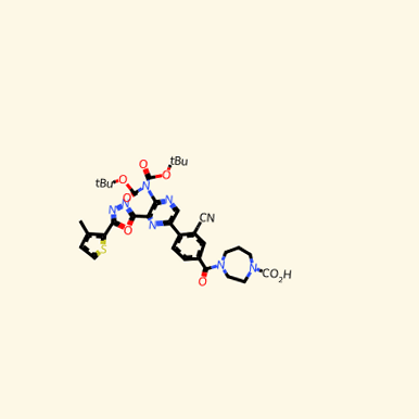 Cc1ccsc1-c1nnc(-c2nc(-c3ccc(C(=O)N4CCCN(C(=O)O)CC4)cc3C#N)cnc2N(C(=O)OC(C)(C)C)C(=O)OC(C)(C)C)o1